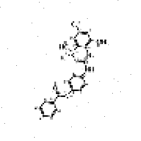 O=C(Nc1ccc(NC2=Nc3c(O)cc(Cl)cc3S(O)(O)N2)cc1)c1ccccc1